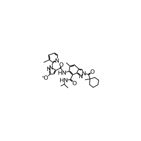 COc1cc(C(=O)Nc2c(C)cc3cn(C(=O)C4(C)CCCCC4)nc3c2C(=O)NC(C)C)n(-c2ncccc2C)n1